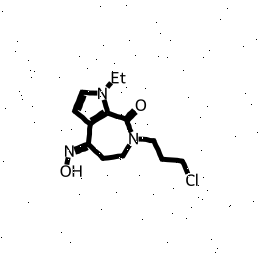 CCn1ccc2c1C(=O)N(CCCCl)CCC2=NO